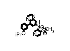 CC(C)Oc1cccc(-c2cc(Nc3cnccc3S(C)(=O)=O)cc3nccnc23)c1